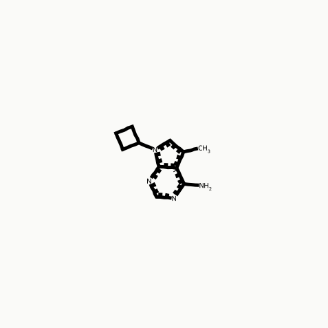 Cc1cn(C2CCC2)c2ncnc(N)c12